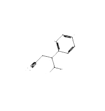 CC(C)C(CC#N)c1ccccc1